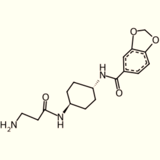 NCCC(=O)N[C@H]1CC[C@H](NC(=O)c2ccc3c(c2)OCO3)CC1